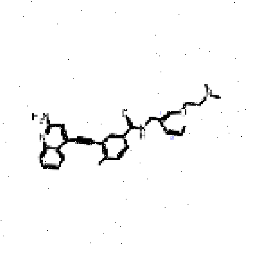 C/C=C\C(=C/OCCN(C)C)CNC(=O)c1ccc(C)c(C#Cc2cc(N)nc3ccccc23)c1